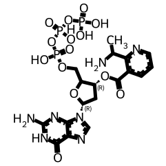 CC(N)c1ncccc1C(=O)O[C@@H]1C[C@H](n2cnc3c(=O)[nH]c(N)nc32)OC1COP(=O)(O)OP(=O)(O)OP(=O)(O)O